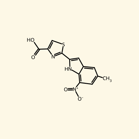 Cc1cc([N+](=O)[O-])c2[nH]c(-c3nc(C(=O)O)cs3)cc2c1